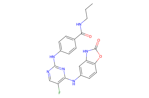 CCCNC(=O)c1ccc(Nc2ncc(F)c(Nc3ccc4oc(=O)[nH]c4c3)n2)cc1